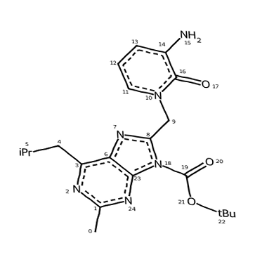 Cc1nc(CC(C)C)c2nc(Cn3cccc(N)c3=O)n(C(=O)OC(C)(C)C)c2n1